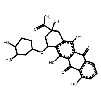 CC(=O)C1(O)Cc2c(O)c3c(c(O)c2C(OC2CCC(O)C(N)C2)C1)C(=O)c1c(O)cccc1C3=O